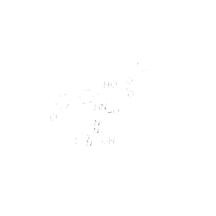 O=C(NC(Cc1ccc(-c2cccc(Cl)c2)cc1)CC(O)C(=O)OCc1ccccc1)c1cc(O)n(-c2ccccn2)n1